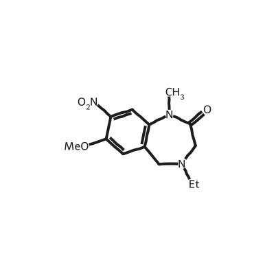 CCN1CC(=O)N(C)c2cc([N+](=O)[O-])c(OC)cc2C1